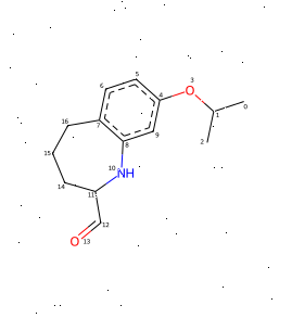 CC(C)Oc1ccc2c(c1)NC(C=O)CCC2